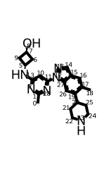 Cc1nc(N[C@H]2C[C@H](O)C2)cc(-n2ncc3cc(C)c(C4CCNCC4)cc32)n1